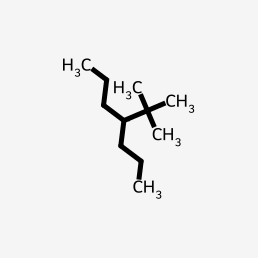 CCC[C](CCC)C(C)(C)C